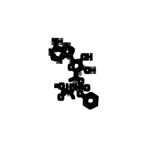 COC(=O)[C@H](C)N[P@](=O)(Oc1ccccc1)O[C@@H](C)[C@H]1O[C@@H](n2cnc3c(N)ncnc32)[C@H](O)[C@@H]1O